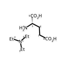 CCN(CC)CC.N[C@@H](CCC(=O)O)C(=O)O